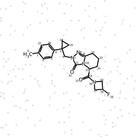 Cc1ccc(C2(Cn3nc4n(c3=O)[C@H](C(=O)N3CC(F)C3)CCC4)CC2)cc1